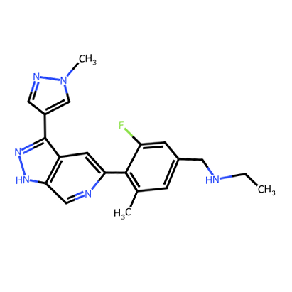 CCNCc1cc(C)c(-c2cc3c(-c4cnn(C)c4)n[nH]c3cn2)c(F)c1